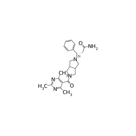 Cc1nc(C)c(C(=O)N2CC3CN([C@@H](CC(N)=O)c4ccccc4)CC3C2)c(C)n1